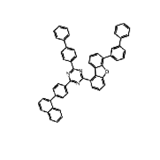 c1ccc(-c2ccc(-c3nc(-c4ccc(-c5cccc6ccccc56)cc4)nc(-c4cccc5oc6c(-c7cccc(-c8ccccc8)c7)cccc6c45)n3)cc2)cc1